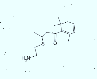 CC1=C(C(=O)CC(C)SCCN)C(C)(C)CC=C1